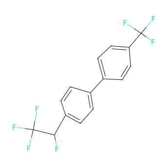 FC(c1ccc(-c2ccc(C(F)(F)F)cc2)cc1)C(F)(F)F